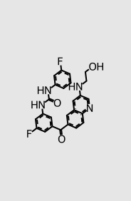 O=C(Nc1cccc(F)c1)Nc1cc(F)cc(C(=O)c2ccc3ncc(NCCO)cc3c2)c1